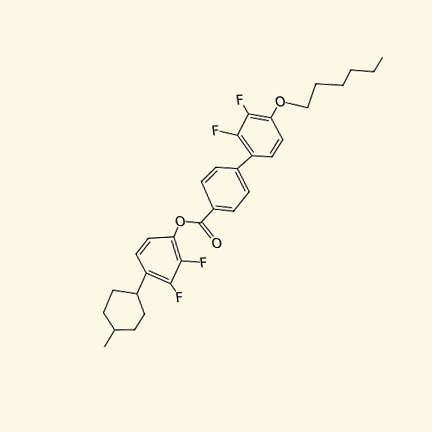 CCCCCCOc1ccc(-c2ccc(C(=O)Oc3ccc(C4CCC(C)CC4)c(F)c3F)cc2)c(F)c1F